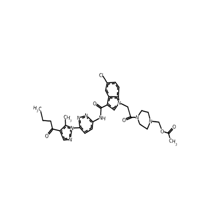 CCCC(=O)c1cnn(-c2ccc(NC(=O)c3cn(CC(=O)N4CCN(COC(C)=O)CC4)c4ccc(Cl)cc34)nn2)c1C